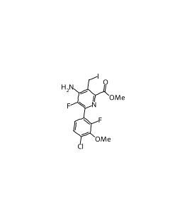 COC(=O)c1nc(-c2ccc(Cl)c(OC)c2F)c(F)c(N)c1CI